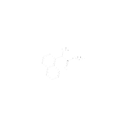 COC(=O)C(C#N)c1cccc2ccccc12